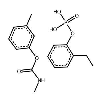 CCc1ccccc1OP(=O)(O)O.CNC(=O)Oc1cccc(C)c1